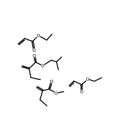 C=C(CC)C(=O)OC.C=C(CC)C(=O)OCC(C)C.C=CC(=O)OCC.C=CC(=O)OCC